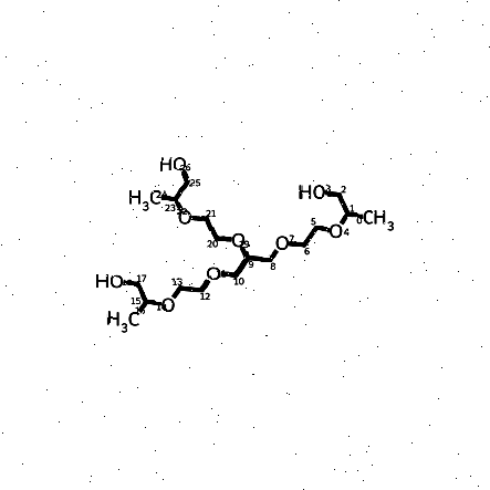 CC(CO)OCCOCC(COCCOC(C)CO)OCCOC(C)CO